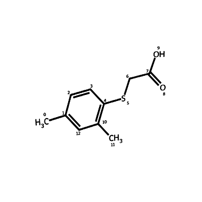 Cc1ccc(SCC(=O)O)c(C)c1